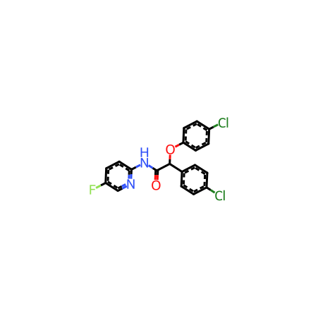 O=C(Nc1ccc(F)cn1)C(Oc1ccc(Cl)cc1)c1ccc(Cl)cc1